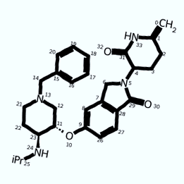 C=C1CCC(N2Cc3cc(O[C@H]4CN(Cc5ccccc5)CC[C@@H]4NC(C)C)ccc3C2=O)C(=O)N1